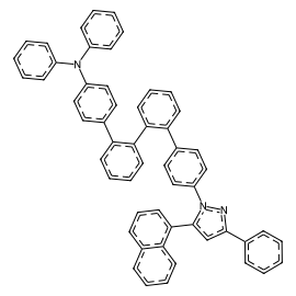 c1ccc(-c2cc(-c3cccc4ccccc34)n(-c3ccc(-c4ccccc4-c4ccccc4-c4ccc(N(c5ccccc5)c5ccccc5)cc4)cc3)n2)cc1